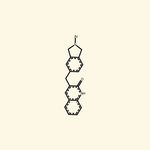 CC(=O)N1Cc2ccc(Cc3cc4ccccc4[nH]c3=O)cc2C1